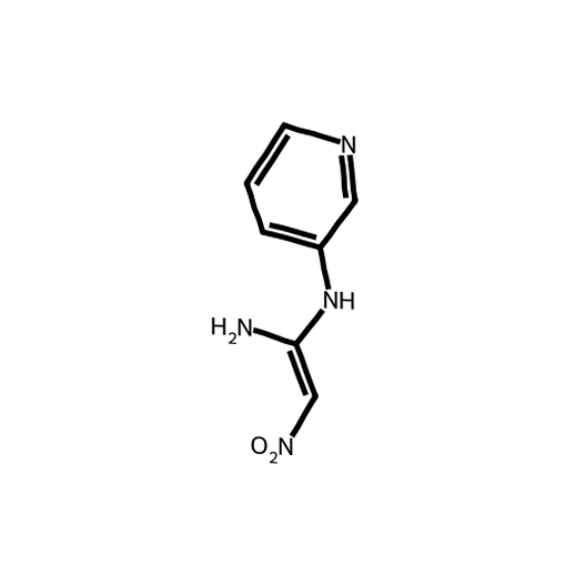 NC(=C[N+](=O)[O-])Nc1cccnc1